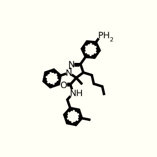 CCCCC1C(c2ccc(P)cc2)=NN(c2ccccc2)C1(C)C(=O)NCc1cccc(C)c1